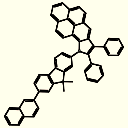 CC1(C)c2cc(-c3ccc4ccccc4c3)ccc2-c2ccc(-n3c(-c4ccccc4)c(-c4ccccc4)c4cc5ccc6cccc7ccc(c5c67)c43)cc21